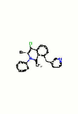 C=C1c2c(Cc3cccnc3)cccc2C(Cl)=C(CC)N1c1ccccc1